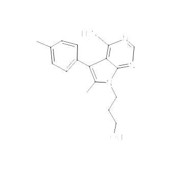 Cc1ccc(-c2c(C)n(CCCO)c3ncnc(N)c23)cc1